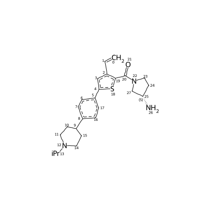 C=Cc1cc(-c2ccc(C3CCN(C(C)C)CC3)cc2)sc1C(=O)N1CC[C@H](N)C1